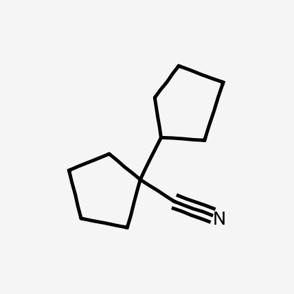 N#CC1(C2CCCC2)CCCC1